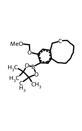 COCOc1cc2c(cc1B1OC(C)(C)C(C)(C)O1)CCCCCCCC2